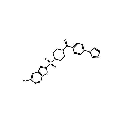 O=C(c1ccc(-n2ccnc2)cc1)N1CCN(S(=O)(=O)c2cc3cc(Cl)ccc3o2)CC1